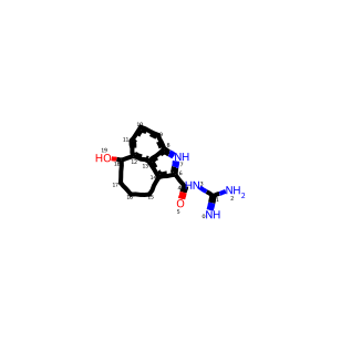 N=C(N)NC(=O)c1[nH]c2cccc3c2c1CCCC3O